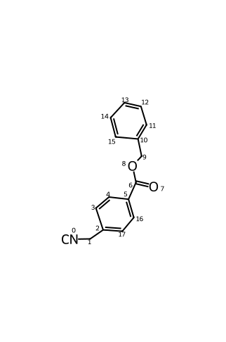 [C-]#[N+]Cc1ccc(C(=O)OCc2ccccc2)cc1